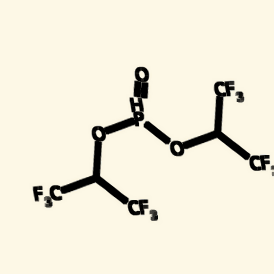 O=[PH](OC(C(F)(F)F)C(F)(F)F)OC(C(F)(F)F)C(F)(F)F